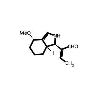 CC=C(C=O)[C@@H]1NC=C2[C@@H](OC)CCC[C@@H]21